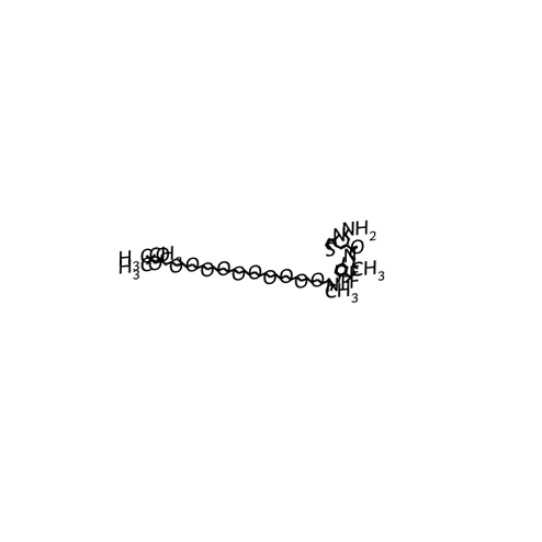 CCCN(Cc1ccc(CN(C)CCOCCOCCOCCOCCOCCOCCOCCOCCOCCOCCC(=O)OC(C)(C)C)c(C(F)(F)F)c1)C(=O)C1=Cc2sccc2N=C(N)C1